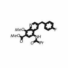 COC(=O)c1cc(NC(=O)C(C)C)c2cc(Cc3ccc(F)cc3)cnc2c1OC